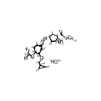 COC(=O)[C@H]1C[C@@H](Nc2ccc(OC(F)F)c(OCC3CC3)c2)CN1.Cl